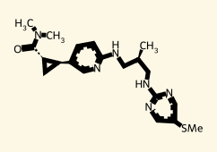 CSc1cnc(NC[C@H](C)CNc2ccc([C@H]3C[C@@H]3C(=O)N(C)C)cn2)nc1